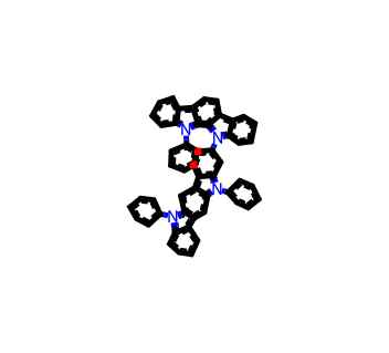 c1ccc(-n2c3ccccc3c3cc4c(cc32)c2ccc(-n3c5ccccc5c5ccc6c7ccccc7n(-c7ccccc7)c6c53)cc2n4-c2ccccc2)cc1